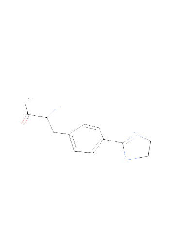 COC(=O)C(N)Cc1ccc(C2=NCCN2)cc1